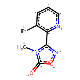 CC(C)c1cccnc1-c1noc(=O)n1C